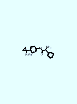 CNC1(c2ccc(NC(=O)C(N)c3ccccc3)cc2)CC1